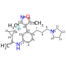 C=C(Nc1ccc(CCCN2CCCC2)c(-c2c(C)noc2C)c1)C1CC1F